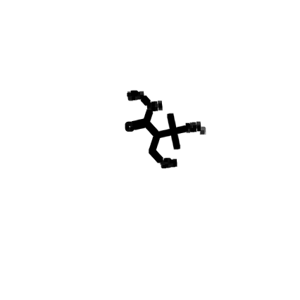 CC(C)(C)CC(C(=O)NC(C)(C)C)C(C)(C)N